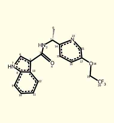 C[C@@H](NC(=O)c1c[nH]c2ccccc12)c1ccc(OCC(F)(F)F)cn1